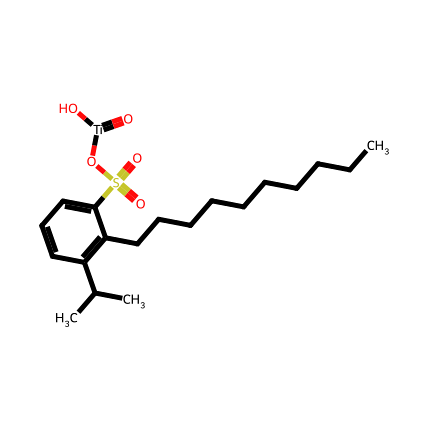 CCCCCCCCCCc1c(C(C)C)cccc1S(=O)(=O)[O][Ti](=[O])[OH]